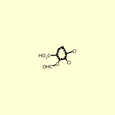 O=COc1c(C(=O)O)ccc(Cl)c1Cl